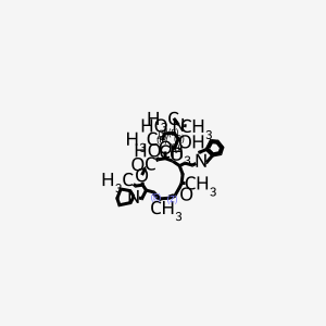 CCC1OC(=O)CC(O)C(C)C(O[C@@H]2O[C@H](C)[C@@H](O)[C@H](N(C)C)[C@H]2O)C(CCN2Cc3ccccc3C2)CC(C)C(=O)/C=C\C(C)=C\C1CN1CCCCC1